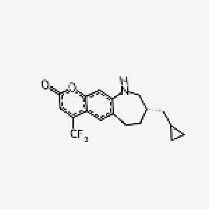 O=c1cc(C(F)(F)F)c2cc3c(cc2o1)NC[C@H](CC1CC1)CC3